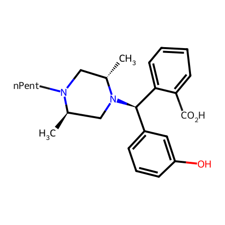 CCCCCN1C[C@H](C)N([C@H](c2cccc(O)c2)c2ccccc2C(=O)O)C[C@H]1C